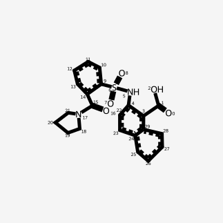 O=C(O)c1c(NS(=O)(=O)c2ccccc2C(=O)N2CCCC2)ccc2ccccc12